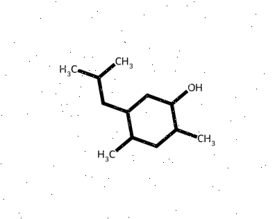 CC(C)CC1CC(O)C(C)CC1C